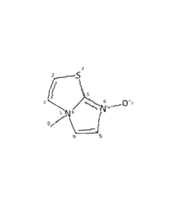 C[N+]12C=CSC1=[N+]([O-])C=C2